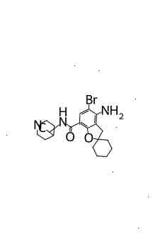 Nc1c(Br)cc(C(=O)NC2CN3CCC2CC3)c2c1CC1(CCCCC1)O2